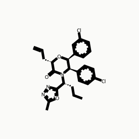 C=CC[C@@H]1O[C@@H](c2cccc(Cl)c2)[C@@H](c2ccc(Cl)cc2)N([C@H](CCC)c2nnc(C)o2)C1=O